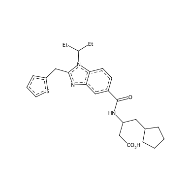 CCC(CC)n1c(Cc2cccs2)nc2cc(C(=O)NC(CC(=O)O)CC3CCCC3)ccc21